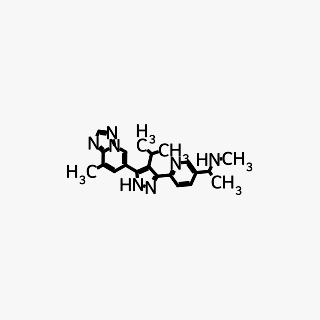 CNC(C)c1ccc(-c2n[nH]c(-c3cc(C)c4ncnn4c3)c2C(C)C)nc1